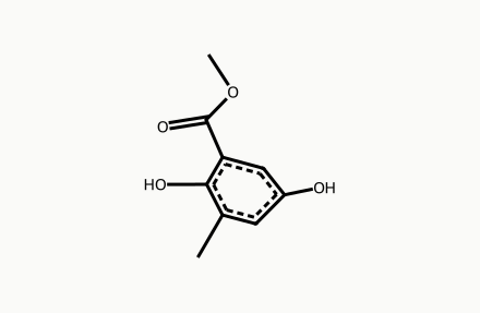 COC(=O)c1cc(O)cc(C)c1O